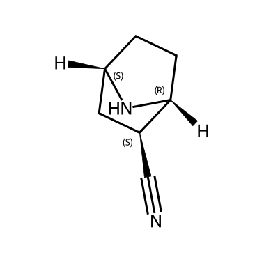 N#C[C@H]1C[C@@H]2CC[C@H]1N2